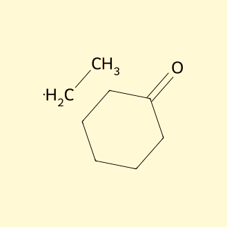 O=C1CCCCC1.[CH2]C